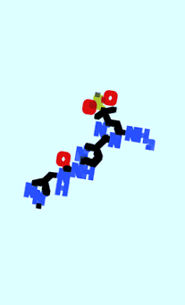 Cn1cc(CNC(=O)Nc2ccc(-c3nc(N)cc(C(C)(C)S(C)(=O)=O)n3)cn2)cn1